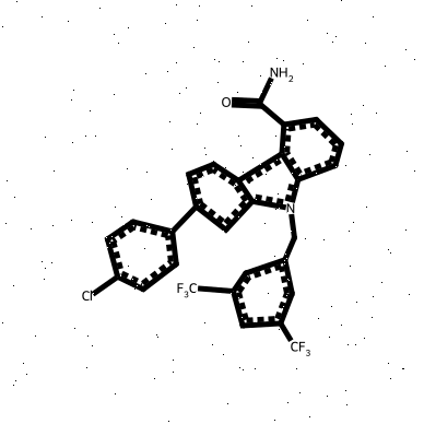 NC(=O)c1cccc2c1c1[c]cc(-c3ccc(Cl)cc3)cc1n2Cc1cc(C(F)(F)F)cc(C(F)(F)F)c1